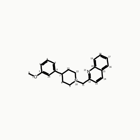 COc1cccc(C2CCN(Cc3ccc4ccccc4n3)CC2)c1